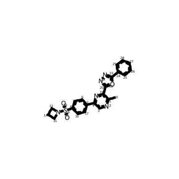 Cc1ncc(-c2ccc(S(=O)(=O)N3CCC3)cc2)nc1-c1nnc(-c2ccccc2)o1